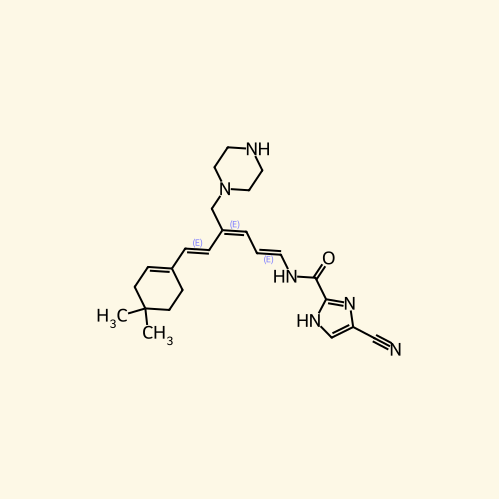 CC1(C)CC=C(/C=C/C(=C\C=C\NC(=O)c2nc(C#N)c[nH]2)CN2CCNCC2)CC1